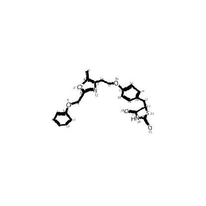 Cc1oc(COc2ccccc2)nc1CCOc1ccc(CC2SC(=O)NC2=O)cc1